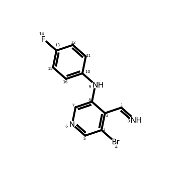 N=Cc1c(Br)cncc1Nc1ccc(F)cc1